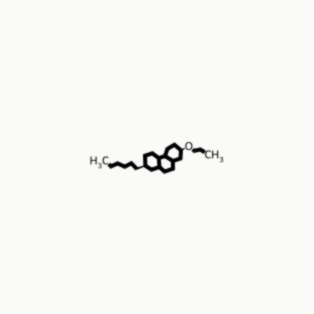 CCCCCC[C@H]1CCC2C(CCC3C[C@@H](OCCC)CCC32)C1